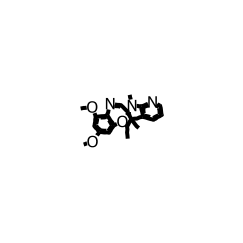 CCC1(C)c2cccnc2N(C)C12C=Nc1c(OC)cc(OC)cc1O2